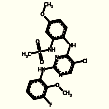 COc1ccc(Nc2nc(Nc3cccc(F)c3OC)ncc2Cl)c(NS(C)(=O)=O)c1